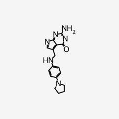 NC1=NC(=O)C2=C(CNc3ccc(N4CCCC4)cc3)C=NC2=N1